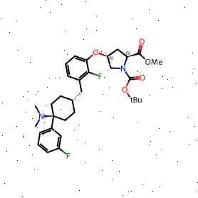 COC(=O)[C@@H]1C[C@H](Oc2cccc(C[C@H]3CC[C@](c4cccc(F)c4)(N(C)C)CC3)c2F)CN1C(=O)OC(C)(C)C